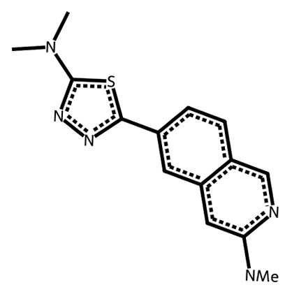 CNc1cc2cc(-c3nnc(N(C)C)s3)ccc2cn1